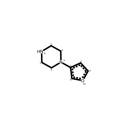 c1cc(N2CCNCC2)co1